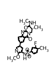 CNC(=O)[C@H](C)Cn1cnc2ccc(-c3cnc(OC)c(NS(=O)(=O)c4ccc(C)c(F)c4)c3)cc2c1=O